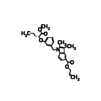 C=CCOC(=O)c1ccc2c(c1)c(C)c(C)n2Cc1cccc(O[C@H](CCC)C(=O)OC)c1